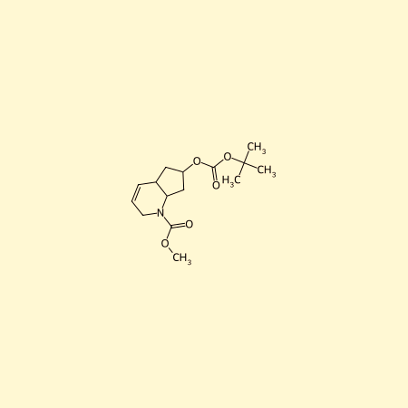 COC(=O)N1CC=CC2CC(OC(=O)OC(C)(C)C)CC21